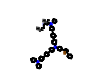 C=C/C=C\C=C(/C)N(c1ccccc1)c1ccc(-c2ccc(-c3ccc(N(c4ccc(-c5ccc(-c6ccc(N(c7ccccc7)c7ccccc7)cc6)cc5)cc4)c4ccc(-c5ccc(-c6ccccc6)s5)cc4)cc3)cc2)cc1